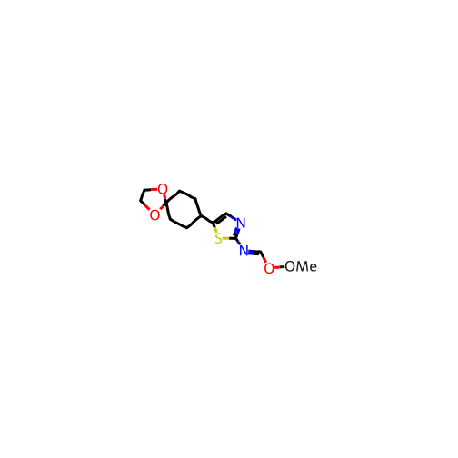 COO/C=N/c1ncc(C2CCC3(CC2)OCCO3)s1